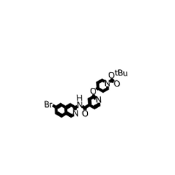 CC(C)(C)OC(=O)N1CCC(Oc2cc(C(=O)Nc3cc4cc(Br)ccc4cn3)ccn2)CC1